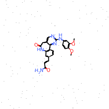 COc1ccc(Nc2ncc3c(n2)-c2ccc(C=CC(N)=O)cc2NC(=O)C3)cc1OC